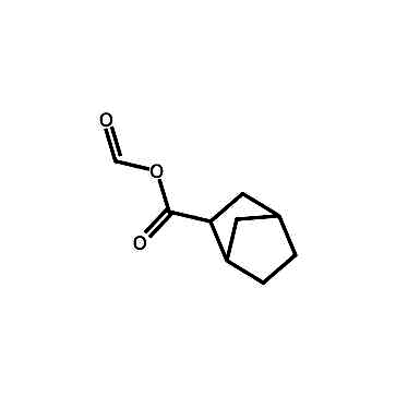 O=COC(=O)C1CC2CCC1C2